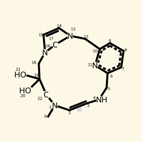 CN1/C=C\NCc2cccc(n2)CN2C=CN(C2)CC(O)(O)C1